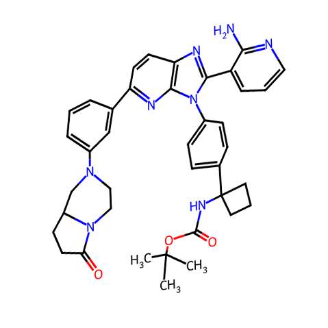 CC(C)(C)OC(=O)NC1(c2ccc(-n3c(-c4cccnc4N)nc4ccc(-c5cccc(N6CCN7C(=O)CCC7C6)c5)nc43)cc2)CCC1